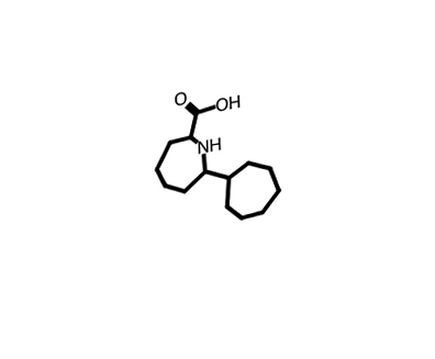 O=C(O)C1CCCCC(C2CCCCCC2)N1